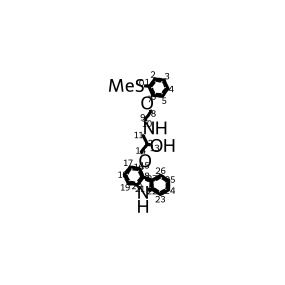 CSc1ccccc1OCCNCC(O)COc1cccc2[nH]c3ccccc3c12